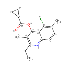 CCc1nc2ccc(C)c(F)c2c(OC(=O)C2CC2)c1C